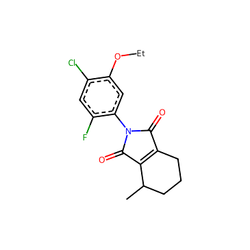 CCOc1cc(N2C(=O)C3=C(C2=O)C(C)CCC3)c(F)cc1Cl